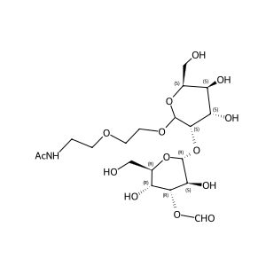 CC(=O)NCCOCCOC1O[C@@H](CO)[C@@H](O)[C@H](O)[C@@H]1O[C@H]1O[C@H](CO)[C@@H](O)[C@@H](OC=O)[C@@H]1O